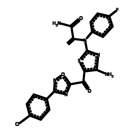 C=C(C(N)=O)N(c1ccc(F)cc1)c1nc(N)c(C(=O)c2nc(-c3ccc(Cl)cc3)no2)s1